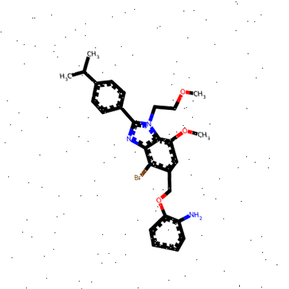 COCCn1c(-c2ccc(C(C)C)cc2)nc2c(Br)c(COc3ccccc3N)cc(OC)c21